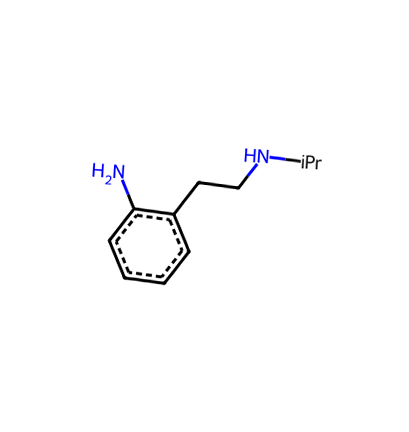 CC(C)NCCc1ccccc1N